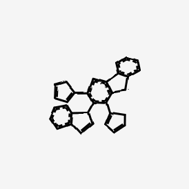 [CH]1c2ccccc2-c2cc(C3=CC=CC3)c(C3C=Cc4ccccc43)c(C3=CC=CC3)c21